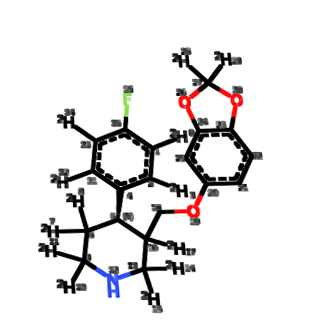 [2H]c1c([2H])c([C@@H]2C([2H])([2H])C([2H])([2H])NC([2H])([2H])C2([2H])COc2ccc3c(c2)OC([2H])([2H])O3)c([2H])c([2H])c1F